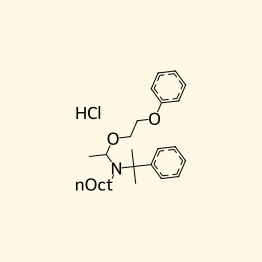 CCCCCCCCN(C(C)OCCOc1ccccc1)C(C)(C)c1ccccc1.Cl